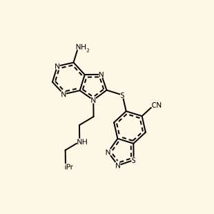 CC(C)CNCCn1c(Sc2cc3nnsc3cc2C#N)nc2c(N)ncnc21